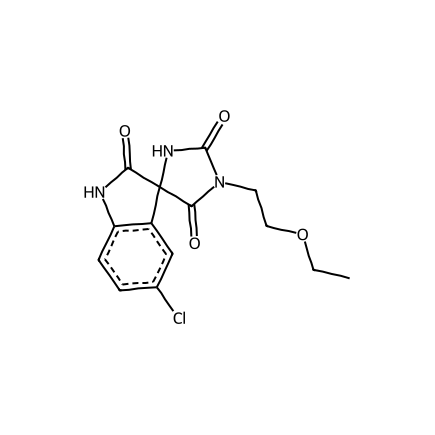 CCOCCN1C(=O)NC2(C(=O)Nc3ccc(Cl)cc32)C1=O